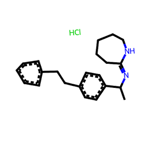 CC(N=C1CCCCCN1)c1ccc(CCc2ccccc2)cc1.Cl